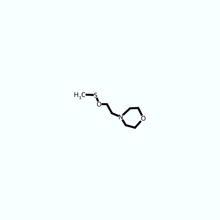 CSOCCN1CCOCC1